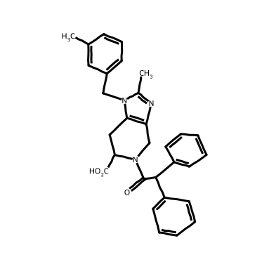 Cc1cccc(Cn2c(C)nc3c2CC(C(=O)O)N(C(=O)C(c2ccccc2)c2ccccc2)C3)c1